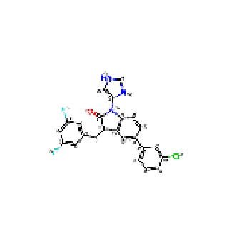 O=C1C(Cc2cc(F)cc(F)c2)c2cc(-c3cccc(Cl)c3)ccc2N1c1c[nH]cn1